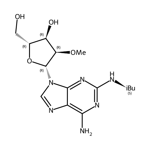 CC[C@H](C)Nc1nc(N)c2ncn([C@@H]3O[C@H](CO)[C@@H](O)[C@H]3OC)c2n1